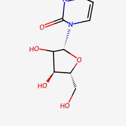 O=c1ncccn1[C@@H]1O[C@H](CO)[C@@H](O)C1O